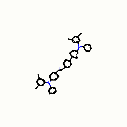 Cc1cc(C)cc(N(c2ccccc2)c2ccc(/C=C/c3ccc(-c4ccc(N(c5ccccc5)c5cc(C)cc(C)c5)cc4)cc3)cc2)c1